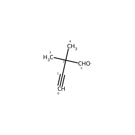 C#CC(C)(C)[C]=O